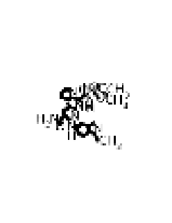 CCC1N=Cc2cc(Nc3nc(N[C@H](c4ccccn4)[C@H](C)NC(=O)OC(C)(C)C)c(F)cc3C(N)=O)ccc21